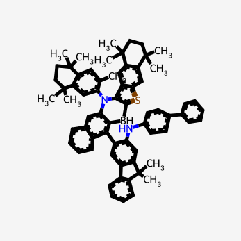 Cc1cc2c(cc1N1c3cc4ccccc4c(-c4cc5c(cc4Nc4ccc(-c6ccccc6)cc4)C(C)(C)c4ccccc4-5)c3Bc3sc4cc5c(cc4c31)C(C)(C)CCC5(C)C)C(C)(C)CCC2(C)C